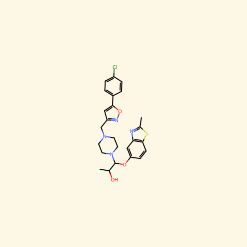 Cc1nc2cc(OC(C(C)O)N3CCN(Cc4cc(-c5ccc(Cl)cc5)on4)CC3)ccc2s1